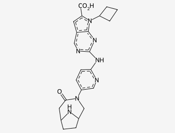 O=C(O)c1cc2cnc(Nc3ccc(N4CC5CCC(CC4=O)N5)cn3)nc2n1C1CCC1